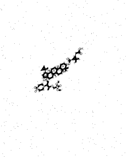 COP(=O)(COC(C)C(CN[C@]12CC[C@@H](C3(C)CC3)[C@@H]1[C@H]1CC[C@@H]3[C@@]4(C)CC[C@H](OC(=O)[C@H]5[C@@H](CC(=O)O)C5(C)C)C(C)(C)[C@@H]4CC[C@@]3(C)[C@]1(C)CC2)N1CCS(=O)(=O)CC1)OC